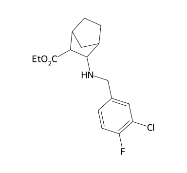 CCOC(=O)C1C2CCC(C2)C1NCc1ccc(F)c(Cl)c1